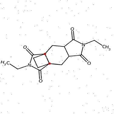 CCN1C(=O)C2C(C1=O)C1C3CCC3C2C2C(=O)N(CC)C(=O)C21